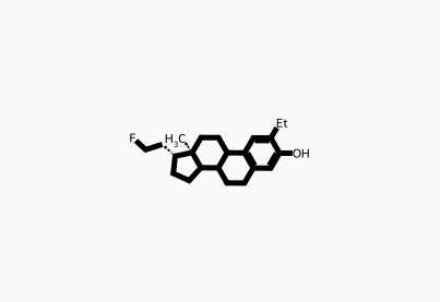 CCc1cc2c(cc1O)CCC1C2CC[C@@]2(C)C1CC[C@@H]2CCF